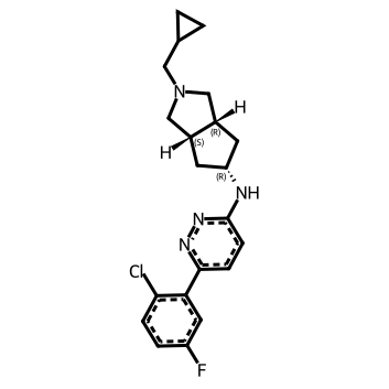 Fc1ccc(Cl)c(-c2ccc(N[C@@H]3C[C@@H]4CN(CC5CC5)C[C@@H]4C3)nn2)c1